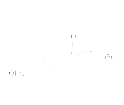 CCCCC1OC1/C=C/C=O